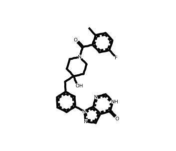 Cc1ccc(F)cc1C(=O)N1CCC(O)(Cc2cccc(-n3ncc4c(=O)[nH]cnc43)c2)CC1